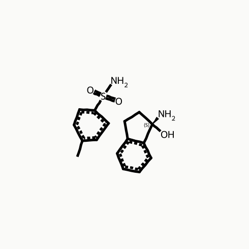 Cc1ccc(S(N)(=O)=O)cc1.N[C@]1(O)CCc2ccccc21